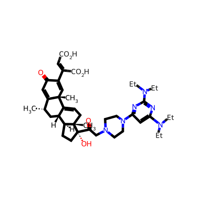 CCN(CC)c1cc(N2CCN(CC(=O)[C@@]3(O)CC[C@H]4[C@@H]5C[C@H](C)C6=CC(=O)C(/C(=C/C(=O)O)C(=O)O)=C[C@]6(C)C5=CC[C@@]43C)CC2)nc(N(CC)CC)n1